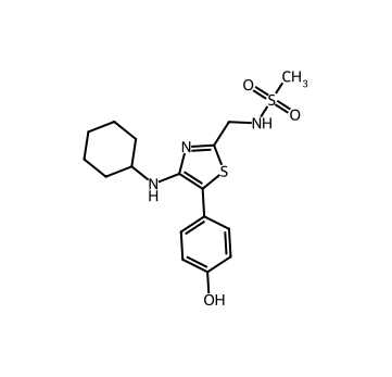 CS(=O)(=O)NCc1nc(NC2CCCCC2)c(-c2ccc(O)cc2)s1